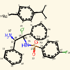 Cc1ccc(C(C)C)cc1.N[C@H](c1ccccc1)[C@](Cl)(NS(=O)(=O)c1ccc(F)cc1)c1ccccc1.[Ru]